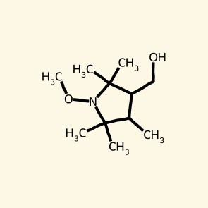 CON1C(C)(C)C(C)C(CO)C1(C)C